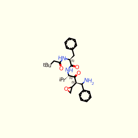 CC(C)[C@H](NC(=O)[C@H](Cc1ccccc1)NC(=O)CC(C)(C)C)C(=O)[C@H](C1CO1)C(N)c1ccccc1